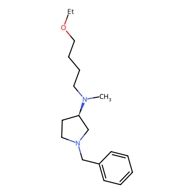 CCOCCCCN(C)[C@@H]1CCN(Cc2ccccc2)C1